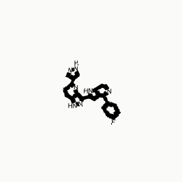 Fc1ccc(-c2nccc3[nH]c(-c4n[nH]c5ccc(-c6cn[nH]c6)nc45)cc23)cc1